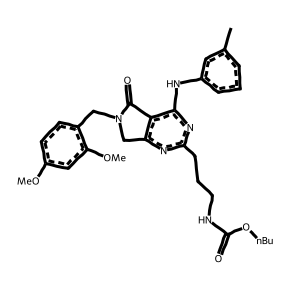 CCCCOC(=O)NCCCc1nc2c(c(Nc3cccc(C)c3)n1)C(=O)N(Cc1ccc(OC)cc1OC)C2